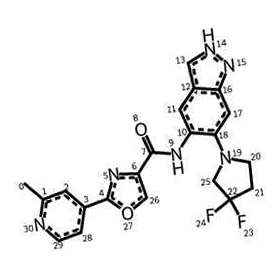 Cc1cc(-c2nc(C(=O)Nc3cc4c[nH]nc4cc3N3CCC(F)(F)C3)co2)ccn1